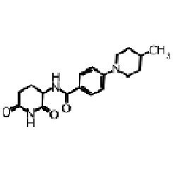 CC1CCN(c2ccc(C(=O)NC3CCC(=O)NC3=O)cc2)CC1